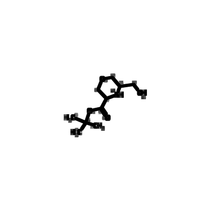 CC(C)(C)OC(=O)C1COCC(CO)N1